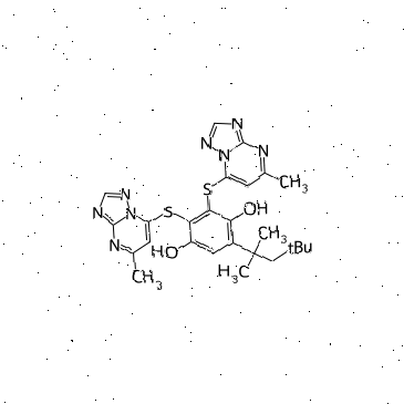 Cc1cc(Sc2c(O)cc(C(C)(C)CC(C)(C)C)c(O)c2Sc2cc(C)nc3ncnn23)n2ncnc2n1